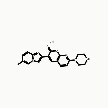 Cc1ccc2nc(-c3cc4ccc(N5CCNCC5)nc4oc3=O)cn2c1.Cl